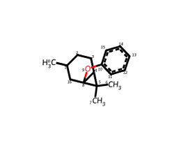 CC1CCC2C(C)(C)C2(Oc2[c]cccc2)C1